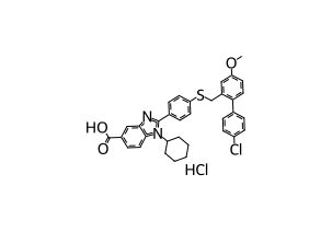 COc1ccc(-c2ccc(Cl)cc2)c(CSc2ccc(-c3nc4cc(C(=O)O)ccc4n3C3CCCCC3)cc2)c1.Cl